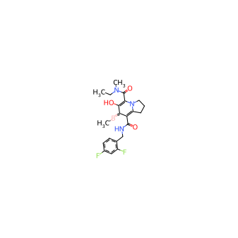 C/B=C1/C(O)=C(C(=O)N(C)CC)N2CCCC2=C1C(=O)NCc1ccc(F)cc1F